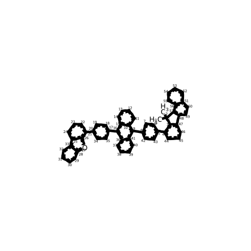 CC1(C)c2c(-c3ccc(-c4c5ccccc5c(-c5ccc(-c6cccc7c6oc6ccccc67)cc5)c5ccccc45)cc3)cccc2-c2ccc3ccccc3c21